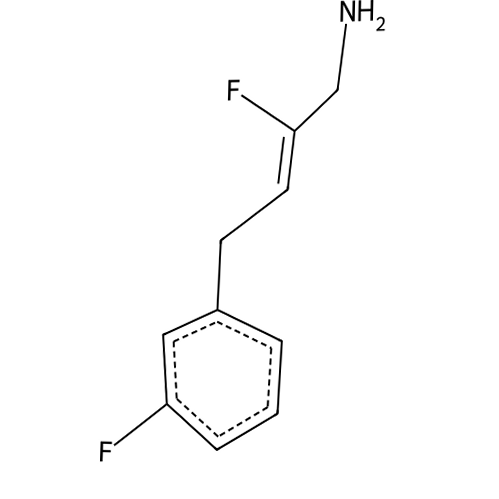 NC/C(F)=C/Cc1cccc(F)c1